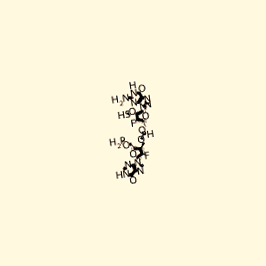 Nc1nc2c(nnn2[C@@H]2O[C@H](COPOC[C@H]3[C@H](F)[C@H](n4cnc5c(=O)[nH]cnc54)O[C@@H]3COP)[C@H](F)[C@H]2OS)c(=O)[nH]1